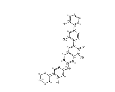 CCn1c(=O)c(-c2ccc(-c3cccnc3F)cc2Cl)cc2cnc(Nc3ccc(C4CCNCC4)c(F)c3)nc21